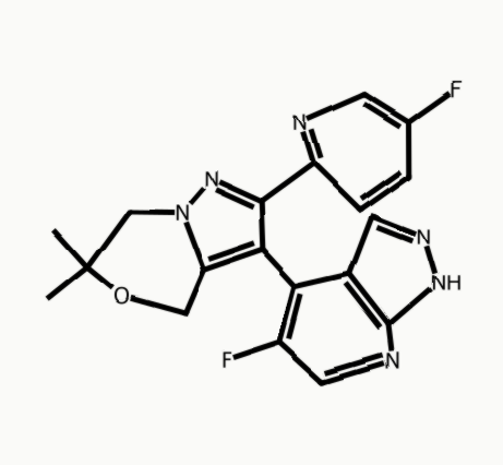 CC1(C)Cn2nc(-c3ccc(F)cn3)c(-c3c(F)cnc4[nH]ncc34)c2CO1